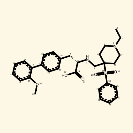 CCN1CCC(CN[C@@H](Cc2ccc(-c3ccccc3OC)cc2)C(=O)O)(S(=O)(=O)c2ccccc2)CC1